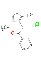 CCOC(CC1=[C]([Ti+2])CC=C1)c1ccccc1.[Cl-].[Cl-]